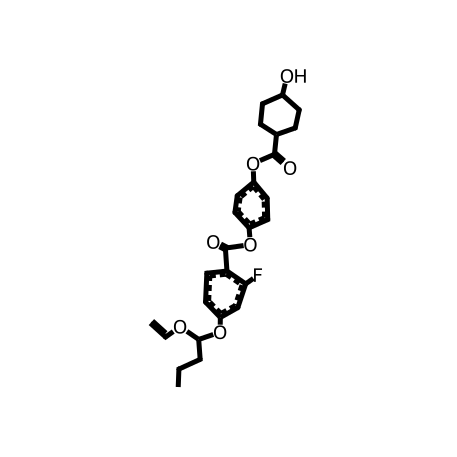 C=COC(CCC)Oc1ccc(C(=O)Oc2ccc(OC(=O)C3CCC(O)CC3)cc2)c(F)c1